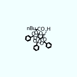 CCCCC(O[C@@H]1O[C@@H](C)[C@@H](OC(=O)c2ccccc2)[C@@H](OC(=O)c2ccccc2)[C@@H]1OC(=O)c1ccccc1)C(=O)O